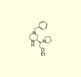 CCOCC([C@@H]1CN(Cc2ccccc2)CCN1)N1CCCC1